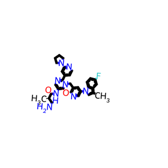 Cc1cn(-c2cncc(Cn3c(-c4ccnc(N5CCCC5)c4)ncc(NC(=O)[C@@H](C)CN)c3=O)c2)c2ccc(F)cc12